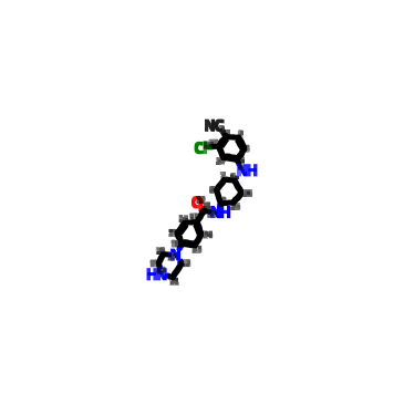 N#Cc1ccc(N[C@H]2CC[C@H](NC(=O)c3ccc(N4CCNCC4)cc3)CC2)cc1Cl